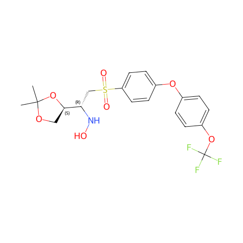 CC1(C)OC[C@H]([C@H](CS(=O)(=O)c2ccc(Oc3ccc(OC(F)(F)F)cc3)cc2)NO)O1